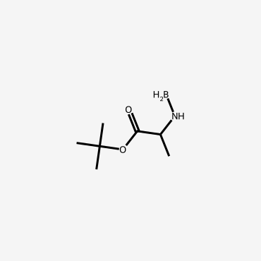 BNC(C)C(=O)OC(C)(C)C